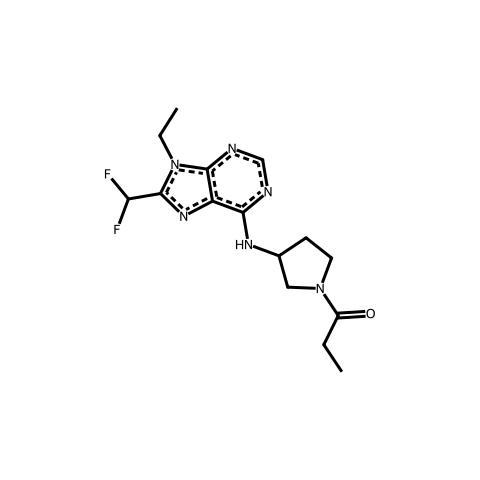 CCC(=O)N1CCC(Nc2ncnc3c2nc(C(F)F)n3CC)C1